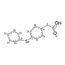 O=C(O)Cc1ccc(Sc2ccccc2)cc1